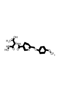 C[C@@H](O)[C@H](NC(=O)c1ccc(COc2ccc(OC(F)(F)F)cc2)nc1)C(=O)NO